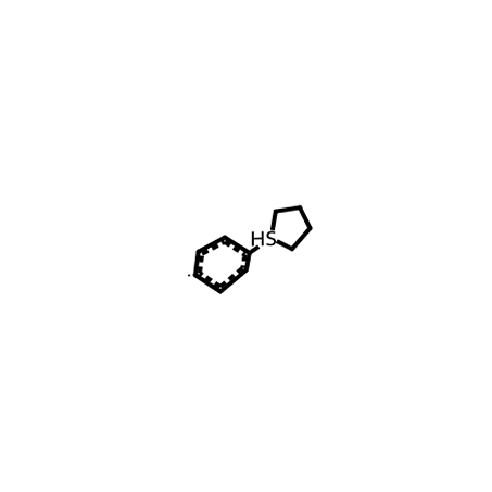 [c]1ccc([SH]2CCCC2)cc1